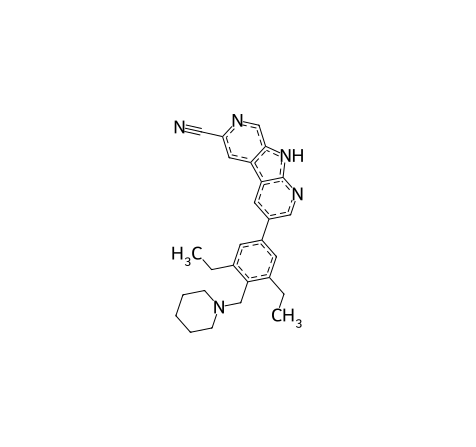 CCc1cc(-c2cnc3[nH]c4cnc(C#N)cc4c3c2)cc(CC)c1CN1CCCCC1